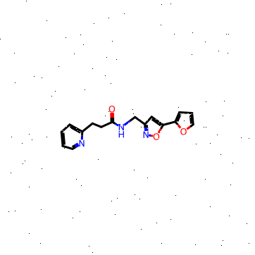 O=C(CCc1ccccn1)NCc1cc(-c2ccco2)on1